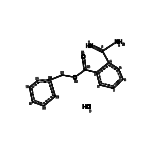 Cl.N=C(N)c1ccccc1C(=O)OCc1ccccc1